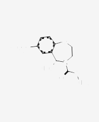 CCOC(=O)c1ccc2c(c1)[C@H](C)N(C(=O)OC(C)(C)C)CCO2